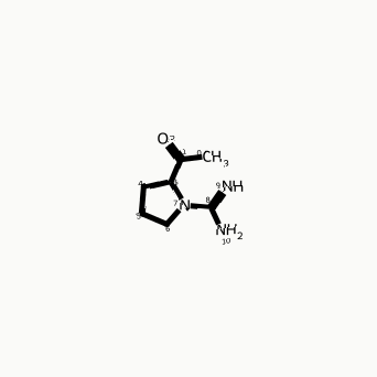 CC(=O)C1CCCN1C(=N)N